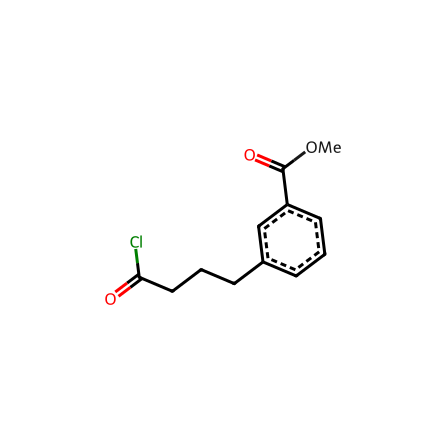 COC(=O)c1cccc(CCCC(=O)Cl)c1